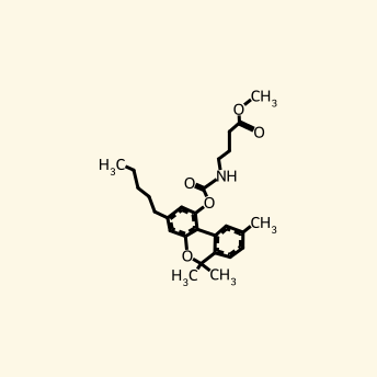 CCCCCc1cc(OC(=O)NCCCC(=O)OC)c2c(c1)OC(C)(C)c1ccc(C)cc1-2